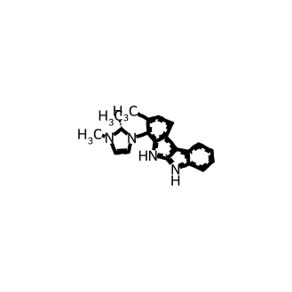 Cc1ccc2c([nH]c3[nH]c4ccccc4c32)c1N1C=CN(C)[C@@H]1C